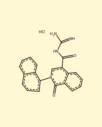 Cl.N=C(N)NC(=O)c1cn(-c2cccc3ccccc23)c(=O)c2ccccc12